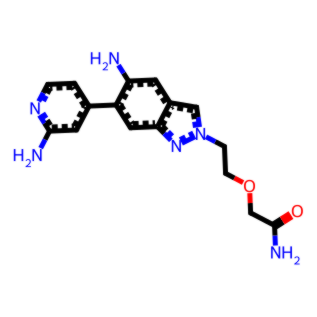 NC(=O)COCCn1cc2cc(N)c(-c3ccnc(N)c3)cc2n1